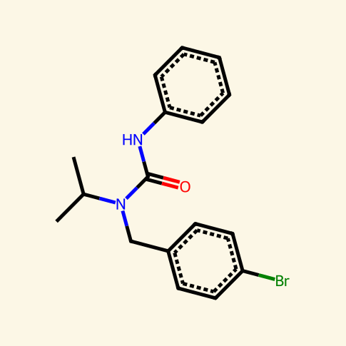 CC(C)N(Cc1ccc(Br)cc1)C(=O)Nc1ccccc1